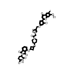 CCOc1cc2oc(-c3ccc(OCc4cn(CC(=O)N5CCC(OC6CC(Oc7cccc8c7C(=O)N(C7CCC(=O)NC7=O)C8=O)C6)CC5)nn4)cc3Cl)cc(=O)c2cc1I